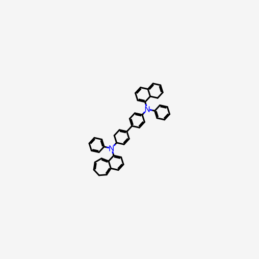 C1=CCC=c2cccc(N(c3ccccc3)C3C=CC(c4ccc(N(C5=CC=CC6=CC=CCC65)c5ccccc5)cc4)=CC3)c2=C1